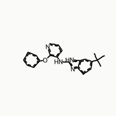 CC(C)(C)c1ccc2nc(Nc3cccnc3Oc3ccccc3)[nH]c2c1